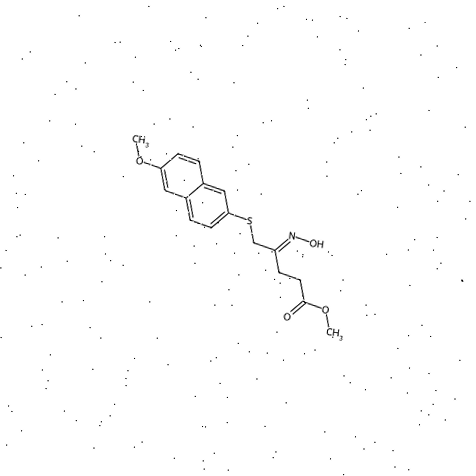 COC(=O)CCC(CSc1ccc2cc(OC)ccc2c1)=NO